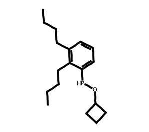 CCCCc1cccc(POC2CCC2)c1CCCC